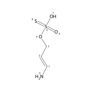 NC=CCOS(=O)(O)=S